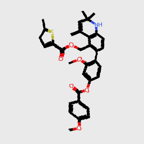 COc1ccc(C(=O)Oc2ccc(-c3ccc4c(c3COC(=O)C3=CCC(C)S3)C(C)=CC(C)(C)N4)c(OC)c2)cc1